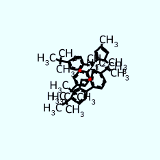 [CH2]=[Zr]([C]1=CC(C)=CC1C)([c]1ccc(C(C)(C)C)cc1)([c]1ccc(C(C)(C)C)cc1)[c]1c(C(C)(C)C)ccc2c1Cc1cc(C(C)(C)C)ccc1-2